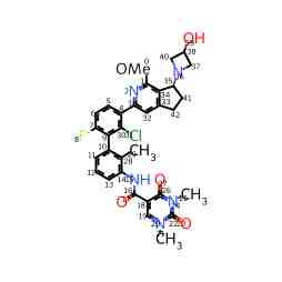 COc1nc(-c2ccc(F)c(-c3cccc(NC(=O)c4cn(C)c(=O)n(C)c4=O)c3C)c2Cl)cc2c1[C@@H](N1CC(O)C1)CC2